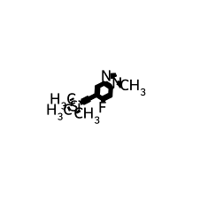 Cn1cnc2cc(C#C[Si](C)(C)C)c(F)cc21